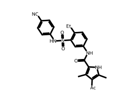 CCc1ccc(NC(=O)c2[nH]c(C)c(C(C)=O)c2C)cc1S(=O)(=O)Nc1ccc(C#N)cc1